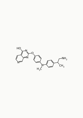 CC(CN)c1ccc(N(C)c2ccc(Oc3nc(O)c4ccncc4n3)cc2)cc1